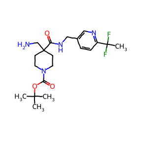 CC(C)(C)OC(=O)N1CCC(CN)(C(=O)NCc2ccc(C(C)(F)F)nc2)CC1